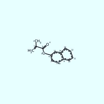 C=C(C)C(=O)Oc1cnc2ccccc2c1